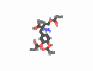 CCCC(C)C(=O)OCC[C@@](N)(Cc1ccc(OC(=O)OCC(C)C)c(OC(=O)OCC(C)C)c1)C(=O)OC